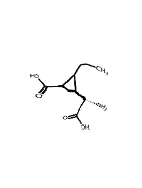 CCC1C(C(=O)O)C1[C@H](N)C(=O)O